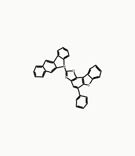 c1ccc(-c2cc3nc(-n4c5ccccc5c5cc6ccccc6cc54)oc3c3c2sc2ccccc23)cc1